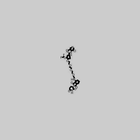 O=C1CCC(N2C(=O)c3cccc(NCCOCCOCCOCCOc4ccc(C(=O)Nc5c(Cl)cncc5Cl)cc4OC(F)F)c3C2=O)C(=O)N1